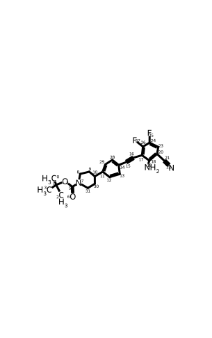 CC(C)(C)OC(=O)N1CCC(c2ccc(C#Cc3c(N)c(C#N)cc(F)c3F)cc2)CC1